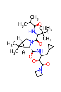 CC(C)C(=O)N[C@H](C(=O)N1C[C@H]2[C@@H]([C@H]1C(=O)NC(CC1CC1)C(=O)C(=O)N1CCC1)C2(C)C)C(C)(C)C